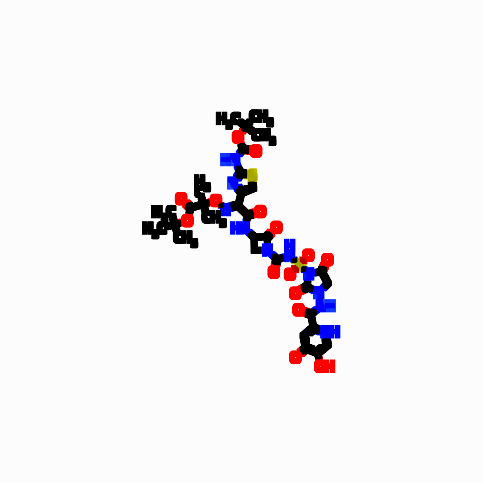 CC(C)(C)OC(=O)Nc1nc(C(=NOC(C)(C)C(=O)OC(C)(C)C)C(=O)NC2CN(C(=O)NS(=O)(=O)N3C(=O)CN(NC(=O)c4cc(=O)c(O)c[nH]4)C3=O)C2=O)cs1